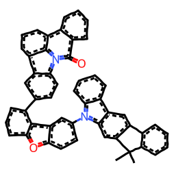 CC1(C)c2ccccc2-c2cc3c4ccccc4n(-c4ccc5oc6cccc(-c7ccc8c(c7)c7cccc9c%10ccccc%10c(=O)n8c97)c6c5c4)c3cc21